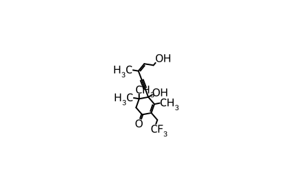 CC1=C(CC(F)(F)F)C(=O)CC(C)(C)C1(O)C#C/C(C)=C\CO